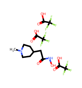 CN1CCC(CC(=O)NO)CC1.O=C(O)C(F)(F)F.O=C(O)C(F)(F)F.O=C(O)C(F)(F)F